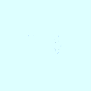 CCCCCCCCCCCCCCCCCCOC(=O)C(CCC)(c1ccc(O)cc1)c1ccc(O)cc1